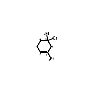 CCC1=CCCC(CC)(CC)C1